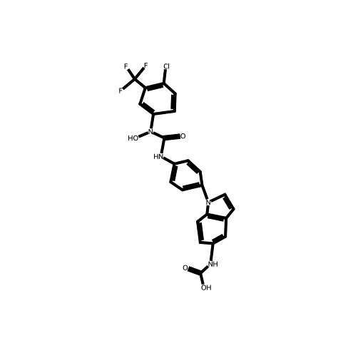 O=C(O)Nc1ccc2c(ccn2-c2ccc(NC(=O)N(O)c3ccc(Cl)c(C(F)(F)F)c3)cc2)c1